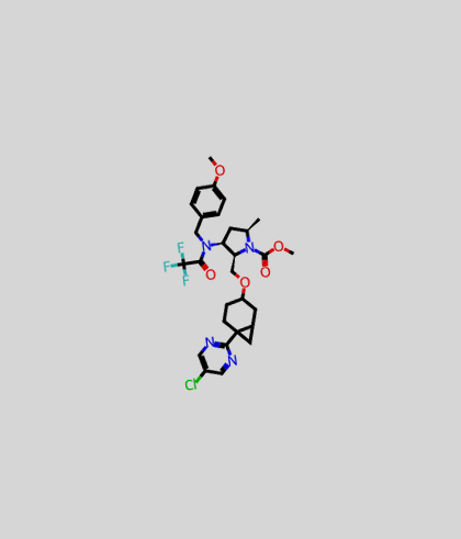 COC(=O)N1[C@H](C)C[C@H](N(Cc2ccc(OC)cc2)C(=O)C(F)(F)F)[C@@H]1COC1CCC2(c3ncc(Cl)cn3)CC2C1